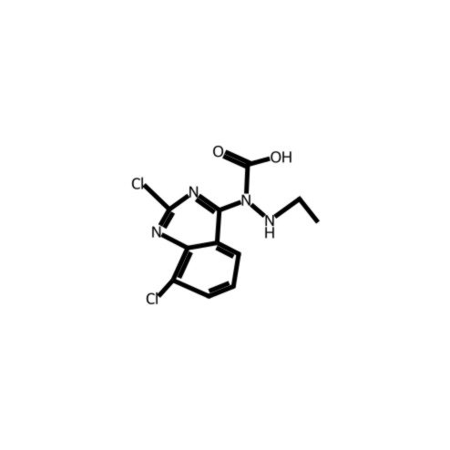 CCNN(C(=O)O)c1nc(Cl)nc2c(Cl)cccc12